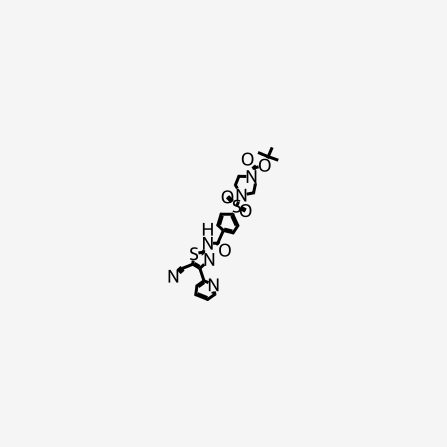 CC(C)(C)OC(=O)N1CCN(S(=O)(=O)c2ccc(C(=O)Nc3nc(-c4ccccn4)c(C#N)s3)cc2)CC1